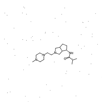 CC(C)C(=O)NC1CCC2CN(CCN3CCN(C)CC3)CC21